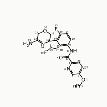 CCCOc1cnc(C(=O)Nc2ccc(F)c([C@]3(C(F)F)COCC(N)=N3)c2)cn1